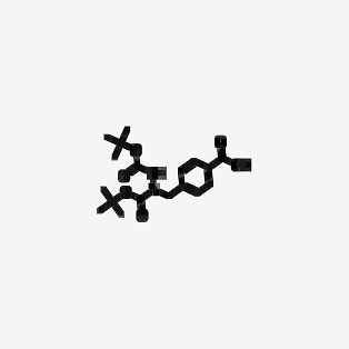 CC(C)(C)OC(=O)NN(Cc1ccc(C(=O)O)cc1)C(=O)OC(C)(C)C